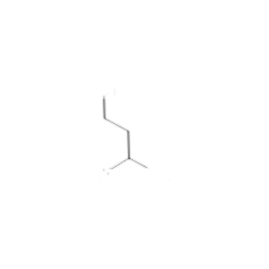 NC(CCS)C(=O)O.[Co]